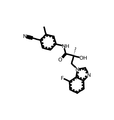 Cc1cc(NC(=O)[C@@](C)(O)Cn2cnc3cccc(F)c32)ccc1C#N